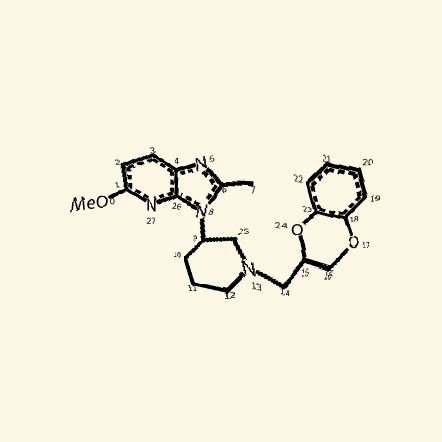 COc1ccc2nc(C)n(C3CCCN(CC4COc5ccccc5O4)C3)c2n1